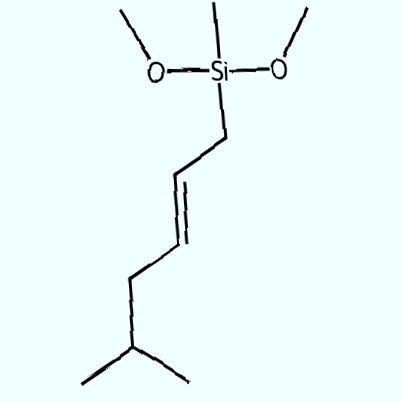 CO[Si](C)(CC=CCC(C)C)OC